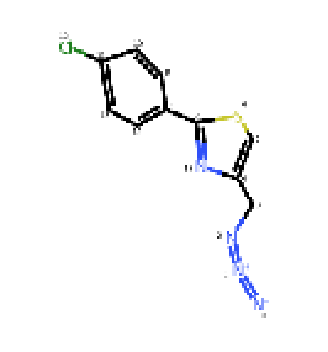 [N-]=[N+]=NCc1csc(-c2ccc(Cl)cc2)n1